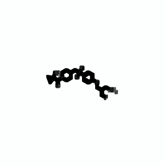 NC/C(=C\F)COc1ccc(S(=O)(=O)CC2CCN(C(=O)C3(C(F)(F)F)CC3)CC2)cc1